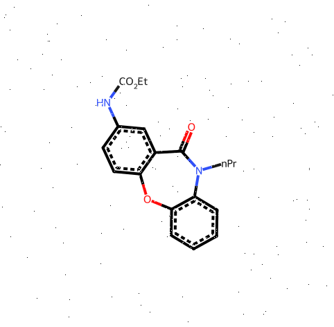 CCCN1C(=O)c2cc(NC(=O)OCC)ccc2Oc2ccccc21